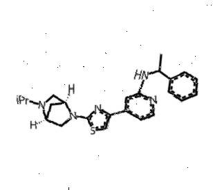 CC(Nc1cc(-c2csc(N3C[C@@H]4C[C@H]3CN4C(C)C)n2)ccn1)c1ccccc1